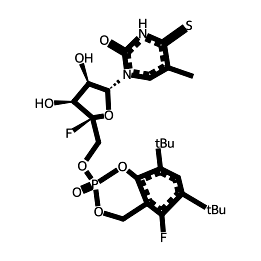 Cc1cn([C@@H]2O[C@](F)(COP3(=O)OCc4c(F)c(C(C)(C)C)cc(C(C)(C)C)c4O3)[C@@H](O)[C@H]2O)c(=O)[nH]c1=S